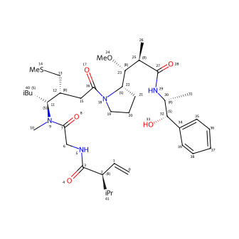 C=C[C@H](C(=O)NCC(=O)N(C)[C@H]([C@H](CSC)CC(=O)N1CCC[C@H]1[C@H](OC)[C@@H](C)C(=O)N[C@H](C)[C@@H](O)c1ccccc1)[C@@H](C)CC)C(C)C